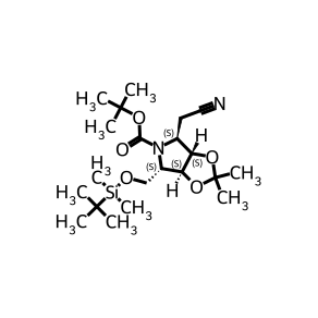 CC(C)(C)OC(=O)N1[C@@H](CC#N)[C@@H]2OC(C)(C)O[C@H]2[C@@H]1CO[Si](C)(C)C(C)(C)C